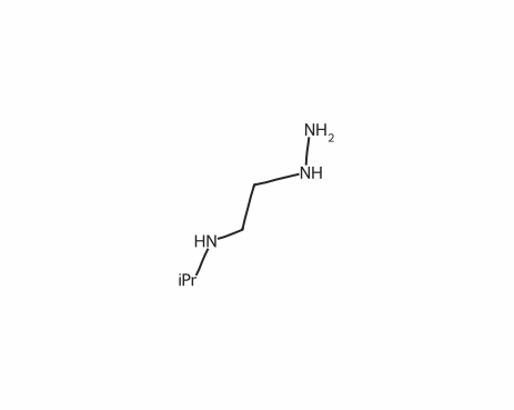 CC(C)NCCNN